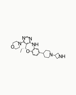 CC[C@H]1Oc2ccc(C3CCN(C4CNC4)CC3)cc2Nc2ncnc(N3CCOCC3)c21